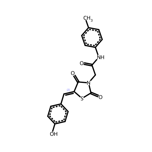 Cc1ccc(NC(=O)CN2C(=O)S/C(=C\c3ccc(O)cc3)C2=O)cc1